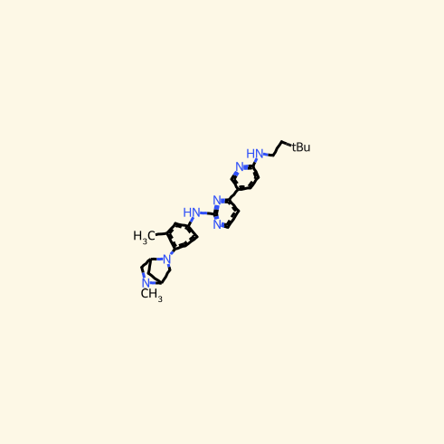 Cc1cc(Nc2nccc(-c3ccc(NCCC(C)(C)C)nc3)n2)ccc1N1CC2CC1CN2C